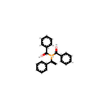 C=C(c1ccccc1)P(C(=O)c1ccccc1)C(=O)c1ccccc1